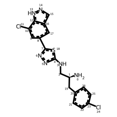 N[C@H](CNc1nnc(-c2cc(Cl)c3[nH]ncc3c2)s1)Cc1ccc(Cl)cc1